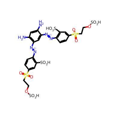 Nc1cc(N)c(/N=N/c2ccc(S(=O)(=O)CCOS(=O)(=O)O)cc2S(=O)(=O)O)cc1/N=N/c1ccc(S(=O)(=O)CCOS(=O)(=O)O)cc1S(=O)(=O)O